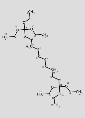 CCOC(CC[SiH2]SSSS[SiH2]CCC(OCC)(OCC)OCC)(OCC)OCC